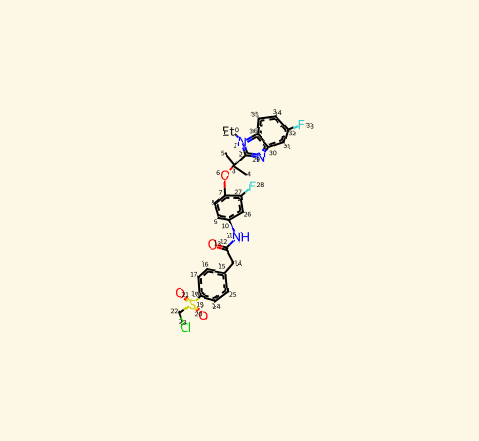 CCn1c(C(C)(C)Oc2ccc(NC(=O)Cc3ccc(S(=O)(=O)CCl)cc3)cc2F)nc2cc(F)ccc21